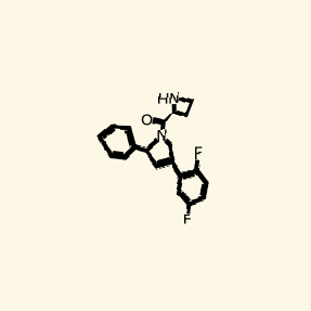 O=C([C@@H]1CCN1)N1CC(c2cc(F)ccc2F)=CC1c1ccccc1